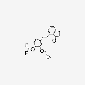 O=C1CCc2cccc(CCc3ccc(OC(F)F)c(OCC4CC4)c3)c21